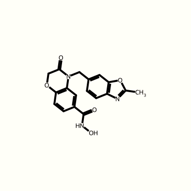 Cc1nc2ccc(CN3C(=O)COc4ccc(C(=O)NO)cc43)cc2o1